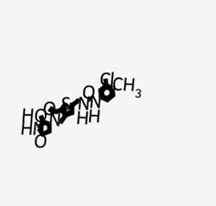 Cc1ccc(NC(=O)NCc2cc3c(s2)C(=O)N(C2CC(=O)NC2O)C3)cc1Cl